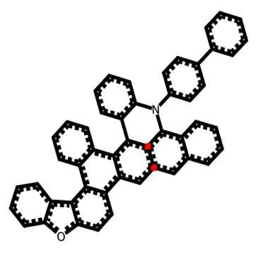 c1ccc(-c2ccc(N(c3ccccc3-c3cccc4c5ccc6oc7ccccc7c6c5c5ccccc5c34)c3cccc4ccccc34)cc2)cc1